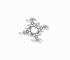 C[N+](C)(C)c1cc(O)c(-c2c3nc(c(-c4c(O)cc([N+](C)(C)C)cc4O)c4ccc([nH]4)c(-c4c(O)cc([N+](C)(C)C)cc4O)c4nc(c(-c5c(O)cc([N+](C)(C)C)cc5O)c5ccc2[nH]5)C=C4)C=C3)c(O)c1